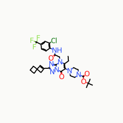 CCc1c(N2CCN(C(=O)OC(C)(C)C)CC2)c(=O)n2nc(C3=CC4(CCC4)C3)nc2n1CC(=O)Nc1ccc(C(F)(F)F)cc1Cl